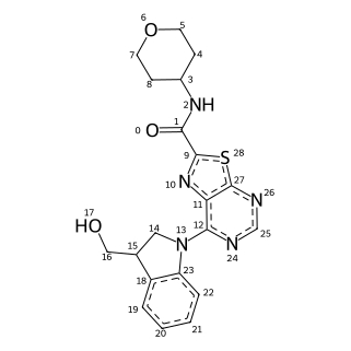 O=C(NC1CCOCC1)c1nc2c(N3CC(CO)c4ccccc43)ncnc2s1